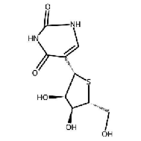 O=c1[nH]cc([C@@H]2S[C@H](CO)[C@@H](O)[C@H]2O)c(=O)[nH]1